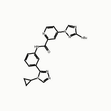 CCCCc1ncn(-c2ccnc(C(=O)Nc3cccc(-c4nncn4C4CC4)c3)c2)n1